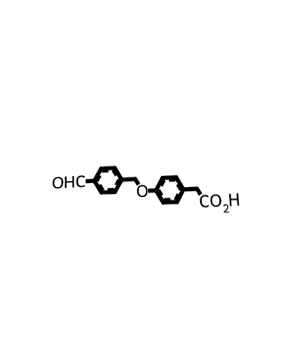 O=Cc1ccc(COc2ccc(CC(=O)O)cc2)cc1